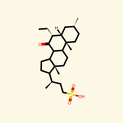 CC[C@H]1C(=O)C2C3CCC([C@H](C)CCS(=O)(=O)O)[C@@]3(C)CCC2[C@@]2(C)CC[C@@H](C)C[C@@H]12